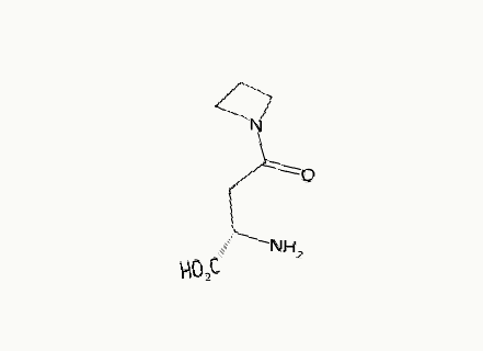 N[C@@H](CC(=O)N1CCC1)C(=O)O